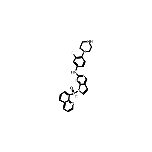 O=S(=O)(c1cccc2cccnc12)n1ccc2cnc(Nc3ccc(N4CCNCC4)c(F)c3)nc21